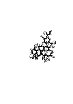 C=CC(=O)N1CC2C(=O)N(C)c3c(c4cc(Cl)c(-c5c(C)ccc6[nH]ncc56)c(F)c4n(-c4c(C(C)C)ncnc4C(C)C)c3=O)N2CC1C